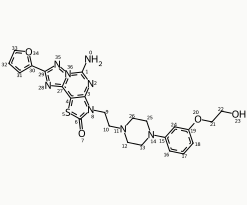 Nc1nc2c(sc(=O)n2CCN2CCN(c3cccc(OCCO)c3)CC2)c2nc(-c3ccco3)nn12